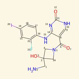 NCC1(O)CN(C(=O)c2c[nH]c(=O)nc2Nc2ccc(I)cc2F)C1